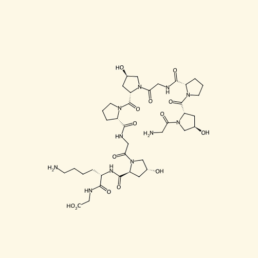 NCCCC[C@H](NC(=O)[C@@H]1C[C@@H](O)CN1C(=O)CNC(=O)[C@@H]1CCCN1C(=O)[C@@H]1C[C@@H](O)CN1C(=O)CNC(=O)[C@@H]1CCCN1C(=O)[C@@H]1C[C@@H](O)CN1C(=O)CN)C(=O)NCC(=O)O